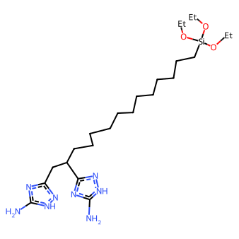 CCO[Si](CCCCCCCCCCCCC(Cc1n[nH]c(N)n1)c1n[nH]c(N)n1)(OCC)OCC